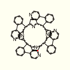 C1=Cc2nc1c(-c1ccccc1-c1ccncc1)c1ccc([nH]1)c(-c1ccccc1-c1ccncc1)c1nc(c(-c3ccccc3-c3ccncc3)c3ccc([nH]3)c2-c2ccccc2-c2ccncc2)C=C1